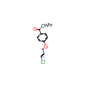 COC(=O)c1ccc(OC/C=C/Cl)cc1